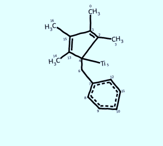 CC1=C(C)[C]([Ti])(Cc2ccccc2)C(C)=C1C